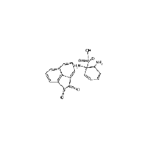 NC1C=CC=CC1(N)S(=O)(=O)O.O=C1C(=O)c2cccc3cccc1c23